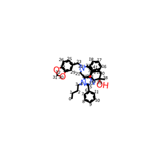 CCCCn1c(-c2ccccc2)nc(-c2ccccc2)c1CN(Cc1ccc2c(c1)OCO2)CC1CCC(C)(O)CC1